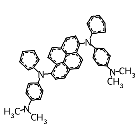 CN(C)c1ccc(N(c2ccccc2)c2ccc3ccc4c(N(c5ccccc5)c5ccc(N(C)C)cc5)ccc5ccc2c3c54)cc1